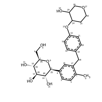 Cc1ccc([C@@H]2O[C@H](CO)[C@@H](O)[C@H](O)[C@H]2O)cc1Cc1ccc(OC2CCOCC2O)cc1